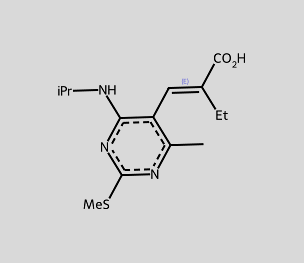 CC/C(=C\c1c(C)nc(SC)nc1NC(C)C)C(=O)O